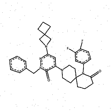 O=C1CCCC2(CCN(c3cc(N4CC5(CCC5)C4)nn(Cc4ccccc4)c3=O)CC2)N1c1ccc(F)c(F)c1